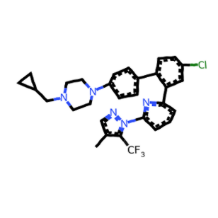 Cc1cnn(-c2cccc(-c3cc(Cl)ccc3-c3ccc(N4CCN(CC5CC5)CC4)cc3)n2)c1C(F)(F)F